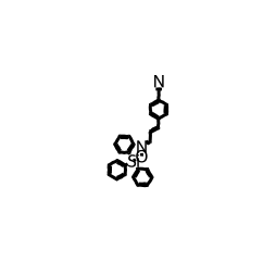 N#Cc1ccc(C=CC=NO[Si](c2ccccc2)(c2ccccc2)c2ccccc2)cc1